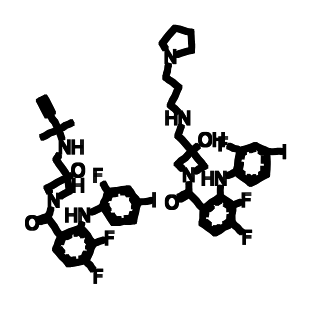 C#CC(C)(C)NCC1(O)CN(C(=O)c2ccc(F)c(F)c2Nc2ccc(I)cc2F)C1.O=C(c1ccc(F)c(F)c1Nc1ccc(I)cc1F)N1CC(O)(CNCCCN2CCCC2)C1